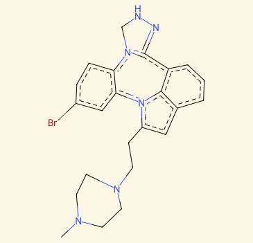 CN1CCN(CCc2cc3cccc4c5n(c6ccc(Br)cc6n2c34)CNN=5)CC1